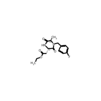 CCOC(=O)C[C@@H]1NC(=O)[C@@H](C)N(Cc2ccc(F)cc2)C1=O